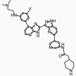 CN(C)CCNc1cc(F)cc(-c2ccnc3[nH]c(-c4n[nH]c5ccc(-c6cncc(NC(=O)CC7CCNCC7)c6)nc45)nc23)c1